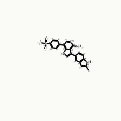 CCS(=O)(=O)c1ccc(-c2cnc(N)c3c(-c4ccc5[nH]c(C)cc5c4)csc23)cc1